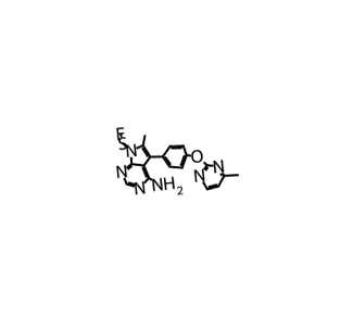 Cc1ccnc(Oc2ccc(-c3c(C)n(SF)c4ncnc(N)c34)cc2)n1